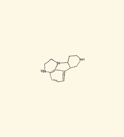 c1cc2c3c(c1)C1CNCCC1N3CCN2